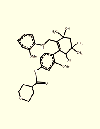 COc1ccccc1NCC1=C(c2ccc(OC(=O)N3CCOCC3)cc2OC)C(O)C(C)(C)CC1(C)O